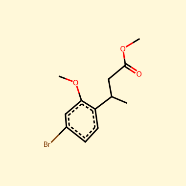 COC(=O)CC(C)c1ccc(Br)cc1OC